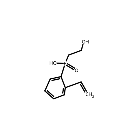 C=Cc1ccccc1P(=O)(O)CCO